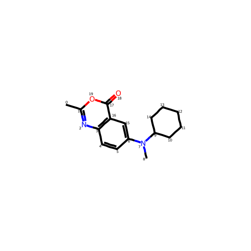 Cc1nc2ccc(N(C)C3CCCCC3)cc2c(=O)o1